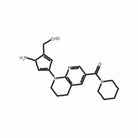 NC1C=C(N2CCCc3cc(C(=O)N4CCCCC4)cnc32)C=C1CC=O